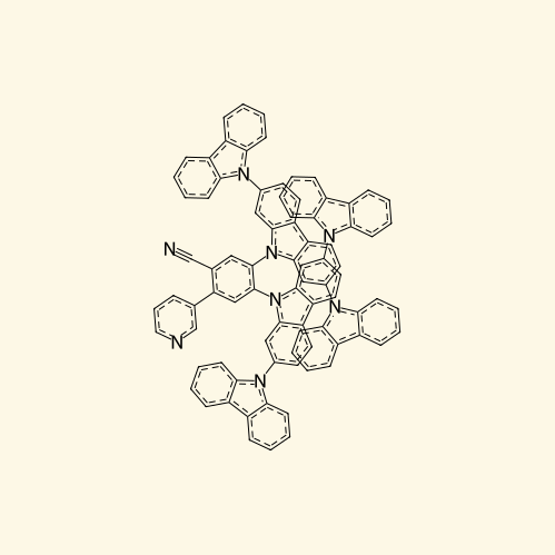 N#Cc1cc(-n2c3cc(-n4c5ccccc5c5ccccc54)ccc3c3ccc(-n4c5ccccc5c5ccccc54)cc32)c(-n2c3cc(-n4c5ccccc5c5ccccc54)ccc3c3ccc(-n4c5ccccc5c5ccccc54)cc32)cc1-c1cccnc1